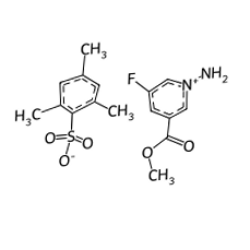 COC(=O)c1cc(F)c[n+](N)c1.Cc1cc(C)c(S(=O)(=O)[O-])c(C)c1